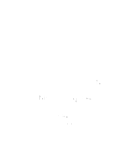 CCCCCCCCCCCCN(C)CCC(=O)[O-].CCCCCCCCCCCCN(C)CCC(=O)[O-].[Ni+2]